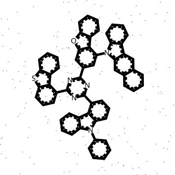 c1ccc(-n2c3ccccc3c3c(-c4nc(-c5cc(-n6c7ccccc7c7cc8ccccc8cc76)c6c(c5)oc5ccccc56)nc(-c5cccc6sc7ccccc7c56)n4)cccc32)cc1